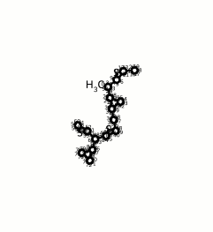 Cc1cc(-c2ccc3c(c2)sc2ccc(-c4ccccc4)cc23)cc(-c2ccc3c4ccc(-c5ccc(-c6cccc7c6sc6cc(-c8cc(-c9ccc%10c(c9)sc9ccccc9%10)cc(-c9ccc%10c%11ccccc%11c%11ccccc%11c%10c9)c8)ccc67)cc5)cc4c4ccccc4c3c2)c1